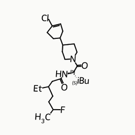 CCC(CCC(C)F)CC(=O)N[C@@H](C(=O)N1CCC(C2CC=C(Cl)CC2)CC1)[C@@H](C)CC